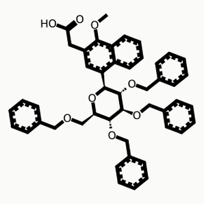 COc1c(CC(=O)O)cc([C@@H]2O[C@H](COCc3ccccc3)[C@@H](OCc3ccccc3)[C@H](OCc3ccccc3)[C@H]2OCc2ccccc2)c2ccccc12